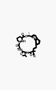 CC(C)[C@@H]1NC(=O)C(C)(C#N)/C=C/c2ccc3ccc(nc3c2)[C@@H](C)OC(=O)C2CCCN(N2)C(=O)[C@H](C)NC1=O